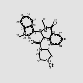 CCN1CCN(C(=O)C2c3ccccc3C(=O)N(C)C2c2cn(C)c3ccccc23)CC1